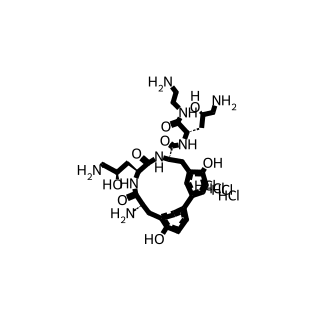 Cl.Cl.Cl.Cl.NCCNC(=O)[C@H](C[C@@H](O)CN)NC(=O)[C@@H]1Cc2cc(ccc2O)-c2ccc(O)c(c2)C[C@H](N)C(=O)N[C@@H](C[C@@H](O)CN)C(=O)N1